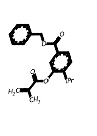 C=C(C)C(=O)Oc1cc(C(=O)OCc2ccccc2)ccc1C(C)C